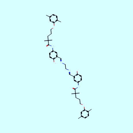 Cc1ccc(C)c(OCCCC(C)(C)C(=O)Nc2ccc(O)c(/C=N/CC/N=C/c3cc(NC(=O)C(C)(C)CCCOc4cc(C)ccc4C)ccc3O)c2)c1